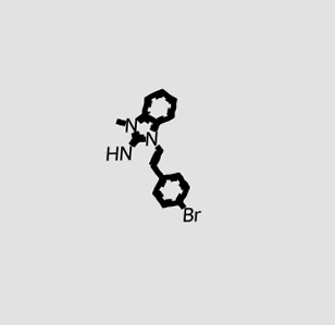 Cn1c(=N)n(C=Cc2ccc(Br)cc2)c2ccccc21